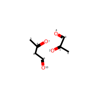 CC(=O)C=O.CC(=O)CC=O